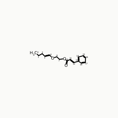 CCCC=COCCOC(=O)C=Cc1ccccc1